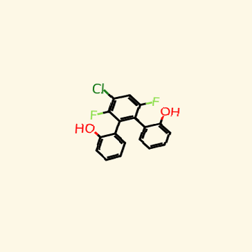 Oc1ccccc1-c1c(F)cc(Cl)c(F)c1-c1ccccc1O